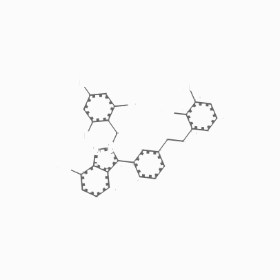 Fc1cc(F)c(Cn2nc3c(C(F)(F)F)cccc3c2-c2cccc(CCc3cccc(Cl)c3F)c2)c(F)c1